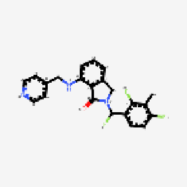 Cc1c(F)ccc(C(F)N2Cc3cccc(NCc4ccncc4)c3C2=O)c1F